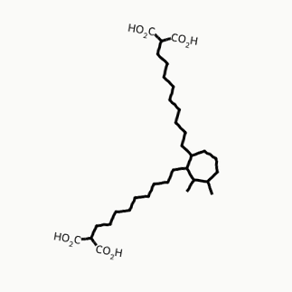 CC1CCCC(CCCCCCCCCC(C(=O)O)C(=O)O)C(CCCCCCCCCC(C(=O)O)C(=O)O)C1C